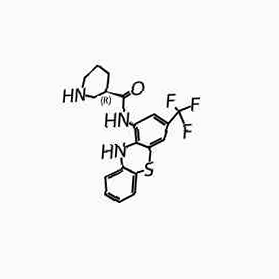 O=C(Nc1cc(C(F)(F)F)cc2c1Nc1ccccc1S2)[C@@H]1CCCNC1